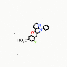 O=C(O)c1ccc(Cc2cn(-c3ccccc3)c3ncccc3c2=O)c(F)c1